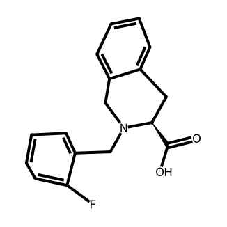 O=C(O)[C@@H]1Cc2ccccc2CN1Cc1ccccc1F